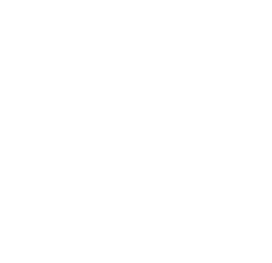 COC1C(CO)OC(OC(C)C)C(O)C1O